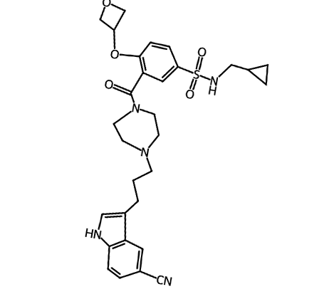 N#Cc1ccc2[nH]cc(CCCN3CCN(C(=O)c4cc(S(=O)(=O)NCC5CC5)ccc4OC4COC4)CC3)c2c1